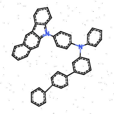 c1ccc(-c2ccc(-c3cccc(N(c4ccccc4)c4ccc(-n5c6ccccc6c6cc7ccccc7cc65)cc4)c3)cc2)cc1